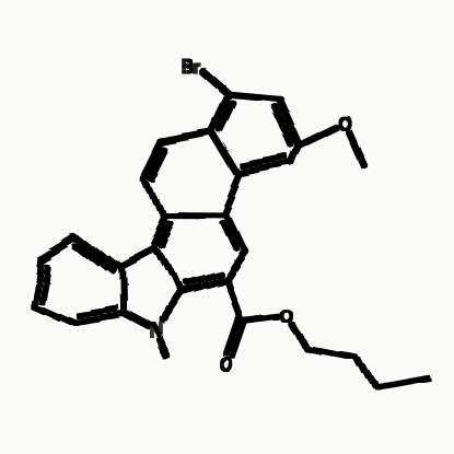 CCCCOC(=O)c1cc2c3cc(OC)cc(Br)c3ccc2c2c3ccccc3n(C)c12